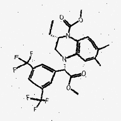 CC[C@H]1CN([C@H](C(=O)OC)c2cc(C(F)(F)F)cc(C(F)(F)F)c2)c2cc(C)c(C)cc2N1C(=O)OC